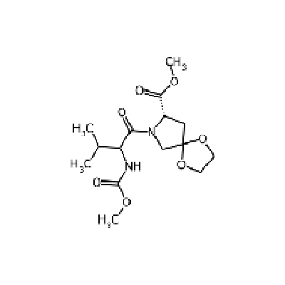 COC(=O)NC(C(=O)N1CC2(C[C@H]1C(=O)OC)OCCO2)C(C)C